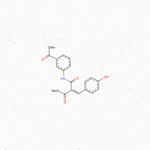 COC(=O)C(=Cc1ccc(O)cc1)C(=O)Nc1cccc(C(=O)OC)c1